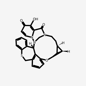 O=C1c2c(O)c(=O)ccn2N2CN1CC[C@@H]1C3C(Oc4cccc5c4[C@@H]2c2ccccc2SC5)[C@H]31